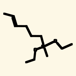 CC=CCCC[Si](C)(OCC)OCC